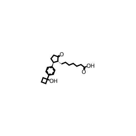 O=C(O)CCCCCC[C@H]1C(=O)CC[C@@H]1c1ccc(C2(O)CCC2)cc1